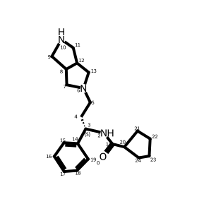 O=C(N[C@@H](CCN1CC2CNCC2C1)c1ccccc1)C1CCCC1